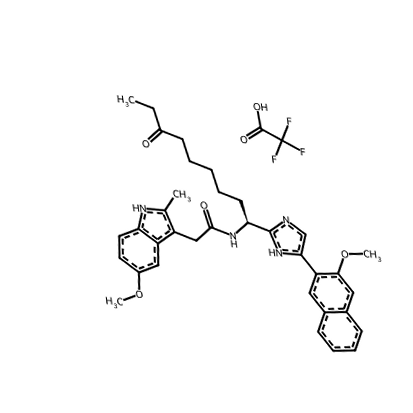 CCC(=O)CCCCC[C@H](NC(=O)Cc1c(C)[nH]c2ccc(OC)cc12)c1ncc(-c2cc3ccccc3cc2OC)[nH]1.O=C(O)C(F)(F)F